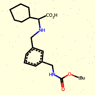 CC(C)(C)OC(=O)NCc1cccc(CNC(C(=O)O)C2CCCCC2)c1